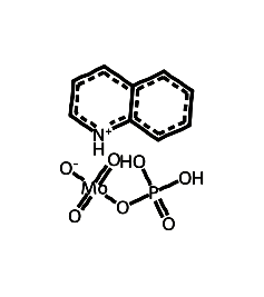 O=P(O)(O)[O][Mo](=[O])(=[O])[O-].c1ccc2[nH+]cccc2c1